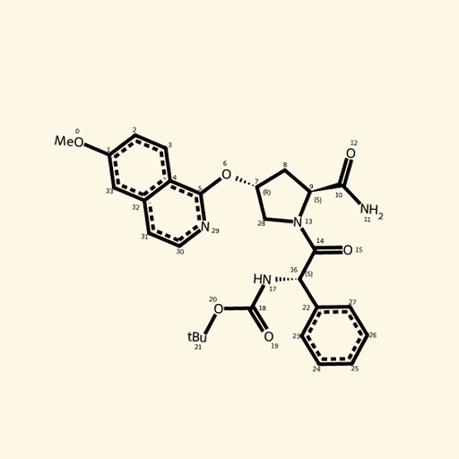 COc1ccc2c(O[C@@H]3C[C@@H](C(N)=O)N(C(=O)[C@@H](NC(=O)OC(C)(C)C)c4ccccc4)C3)nccc2c1